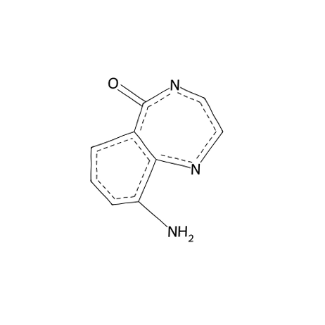 Nc1cccc2c(=O)nccnc12